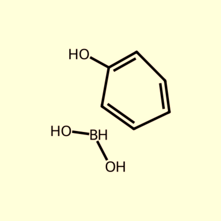 OBO.Oc1ccccc1